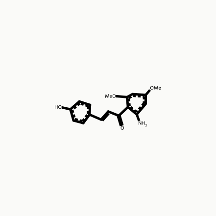 COc1cc(N)c(C(=O)C=Cc2ccc(O)cc2)c(OC)c1